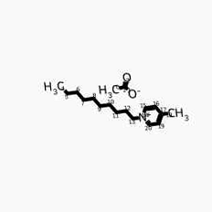 CC(=O)[O-].CCCCCCCCCC[n+]1ccc(C)cc1